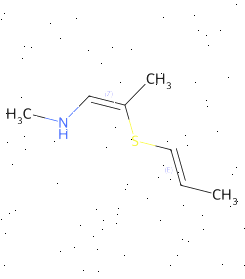 C/C=C/S/C(C)=C\NC